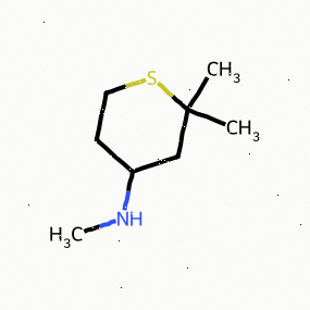 CNC1CCSC(C)(C)C1